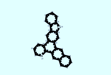 c1ccc2cc3c(cc2c1)c1cc2sc4ccccc4c2cc1c1cccnc13